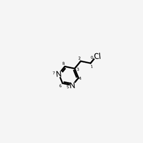 ClCCc1cncnc1